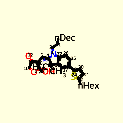 CCCCCCCCCCCCN1/C(=C/C2=C(O)OCC2=O)C(C)(C)c2cc(-c3ccc(CCCCCC)s3)ccc21